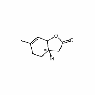 CC1=CC2OC(=O)C[C@@H]2CC1